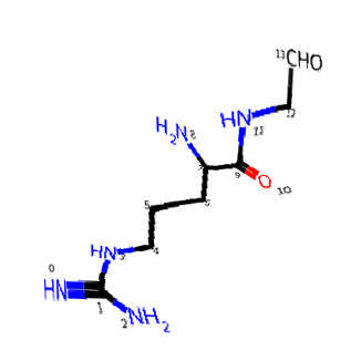 N=C(N)NCCCC(N)C(=O)NCC=O